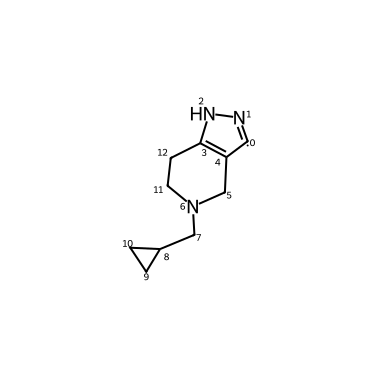 [c]1n[nH]c2c1CN(CC1CC1)CC2